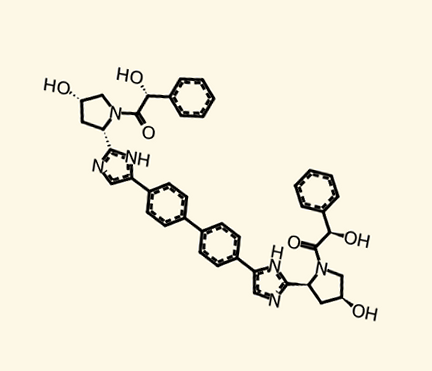 O=C([C@H](O)c1ccccc1)N1C[C@@H](O)C[C@H]1c1ncc(-c2ccc(-c3ccc(-c4cnc([C@@H]5C[C@H](O)CN5C(=O)[C@H](O)c5ccccc5)[nH]4)cc3)cc2)[nH]1